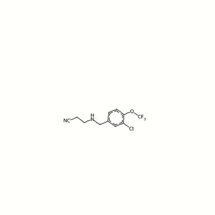 N#CCCNCc1ccc(OC(F)(F)F)c(Cl)c1